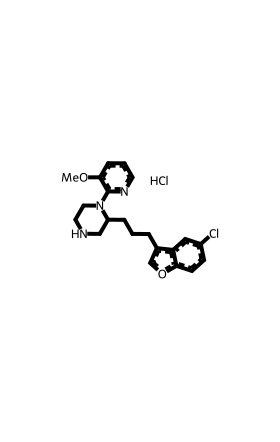 COc1cccnc1N1CCNCC1CCCc1coc2ccc(Cl)cc12.Cl